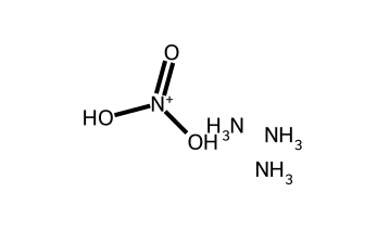 N.N.N.O=[N+](O)O